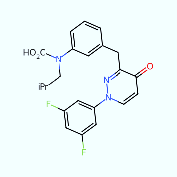 CC(C)CN(C(=O)O)c1cccc(Cc2nn(-c3cc(F)cc(F)c3)ccc2=O)c1